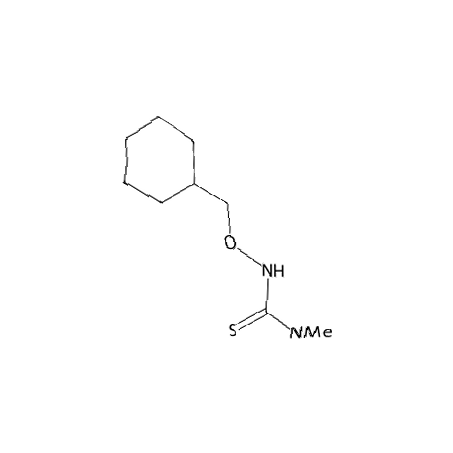 CNC(=S)NOCC1CCCCC1